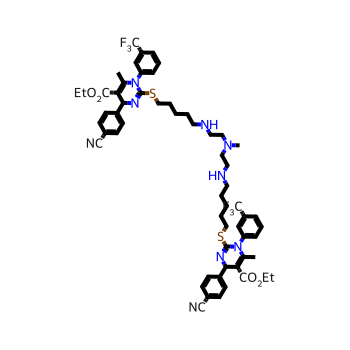 CCOC(=O)C1=C(C)N(c2cccc(C(F)(F)F)c2)C(SCCCCCNCCN(C)CCNCCCCCSC2=NC(c3ccc(C#N)cc3)C(C(=O)OCC)=C(C)N2c2cccc(C(F)(F)F)c2)=NC1c1ccc(C#N)cc1